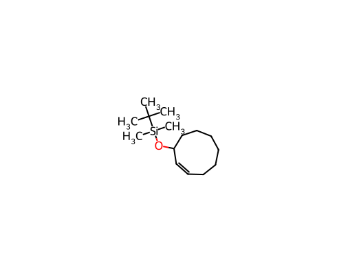 CC(C)(C)[Si](C)(C)OC1/C=C\CCCCCC1